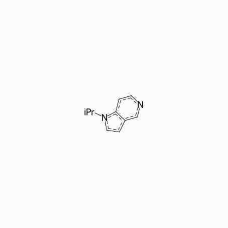 CC(C)n1ccc2cnccc21